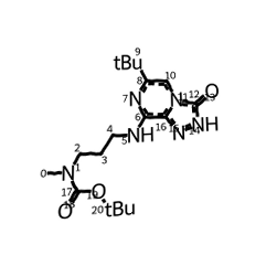 CN(CCCNc1nc(C(C)(C)C)cn2c(=O)[nH]nc12)C(=O)OC(C)(C)C